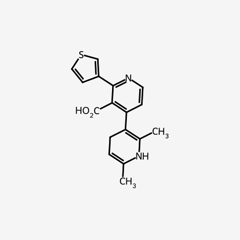 CC1=CCC(c2ccnc(-c3ccsc3)c2C(=O)O)=C(C)N1